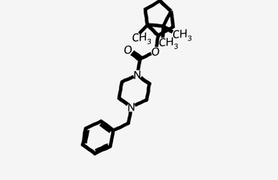 CC1(C)C2CCC1(C)C(OC(=O)N1CCN(Cc3ccccc3)CC1)C2